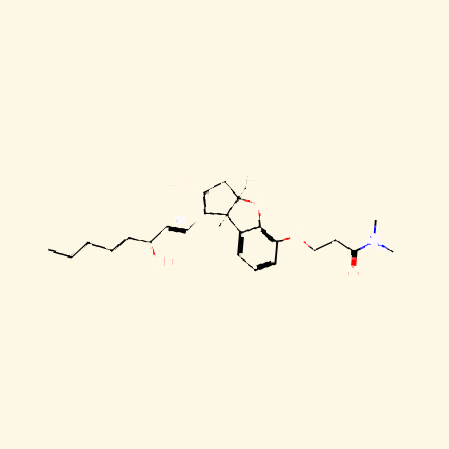 CCCCC[C@H](O)/C=C/[C@@H]1[C@H]2c3cccc(OCCC(=O)N(C)C)c3O[C@H]2C[C@H]1O